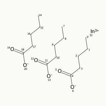 CCCCC(=O)[O-].CCCCC(=O)[O-].CCCCC(=O)[O-].[In+3]